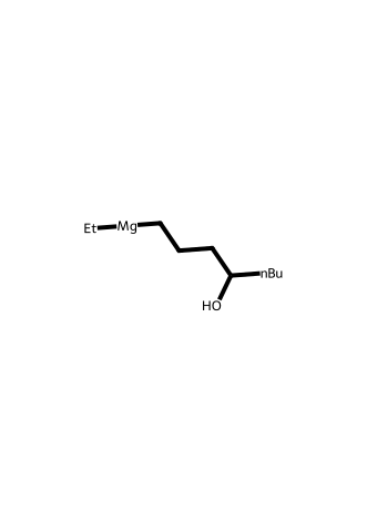 CCCCC(O)CC[CH2][Mg][CH2]C